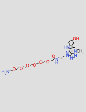 CN(C)c1ncnc2c1c(-c1cc3cc(O)ccc3[nH]1)nn2CCCCNC(=O)CCOCCOCCOCCOCCOCCOCCN